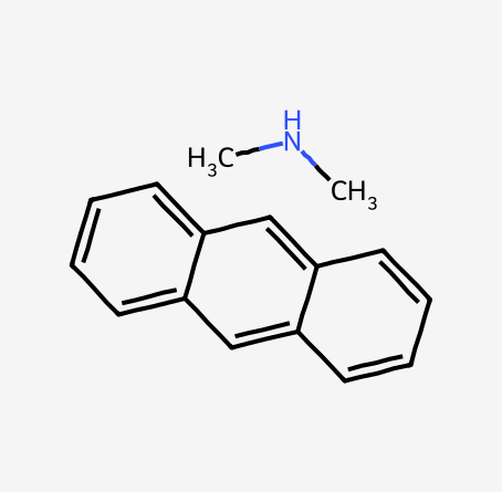 CNC.c1ccc2cc3ccccc3cc2c1